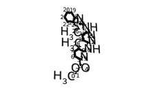 CCOC(=O)c1cccc(Nc2nnc(Nc3nc4ccccc4s3)c(C)c2C)n1